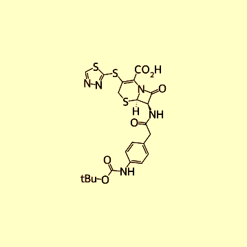 CC(C)(C)OC(=O)Nc1ccc(CC(=O)N[C@@H]2C(=O)N3C(C(=O)O)=C(Sc4nncs4)CS[C@H]23)cc1